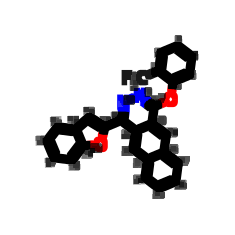 FC(F)(F)c1ccccc1Oc1nnc(-c2cc3ccccc3o2)c2cc3ccccc3cc12